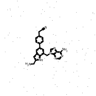 N#CCc1ccc(-c2cc(Cn3cnc4c(N)ncnc43)c3[nH]c(CN)cc3c2)cc1